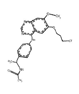 COc1cc2ncnc(Nc3ccc(C(C)NC(C)=O)cc3)c2cc1OCCCCl